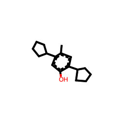 Cc1cc(C2CCCC2)c(O)cc1C1CCCC1